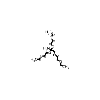 CCOCCOCC(N)(OCCOCC)OCCOCC